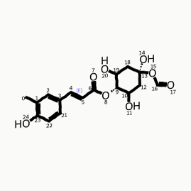 Cc1cc(/C=C/C(=O)O[C@H]2C(O)C[C@](O)(OC=O)CC2O)ccc1O